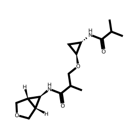 CC(C)C(=O)N[C@H]1C[C@@H]1OCC(C)C(=O)N[C@H]1[C@@H]2COC[C@@H]21